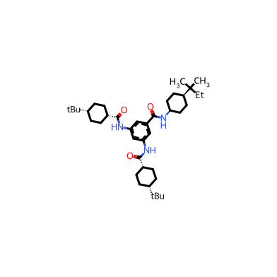 CCC(C)(C)[C@H]1CC[C@@H](NC(=O)c2cc(NC(=O)[C@H]3CC[C@@H](C(C)(C)C)CC3)cc(NC(=O)[C@H]3CC[C@@H](C(C)(C)C)CC3)c2)CC1